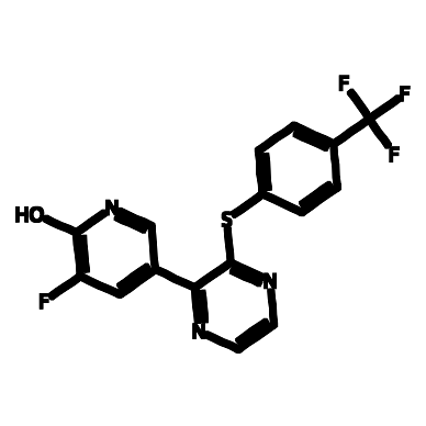 Oc1ncc(-c2nccnc2Sc2ccc(C(F)(F)F)cc2)cc1F